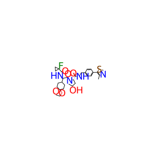 Cc1ncsc1-c1ccc(CNC(=O)[C@@H]2C[C@@H](O)CN2C(=O)C(NC(=O)C2(F)CC2)C2CCC3(CC2)OCCO3)cc1